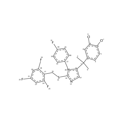 CC(C)(c1ccc(Cl)c(Cl)c1)c1cnc(SCc2c(F)cc(F)cc2F)n1-c1ccc(F)cc1